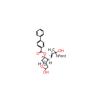 CCCCCC(C)(O)/C=C/[C@@H]1[C@H]2CC(O)O[C@H]2C[C@H]1OC(=O)c1ccc(-c2ccccc2)cc1